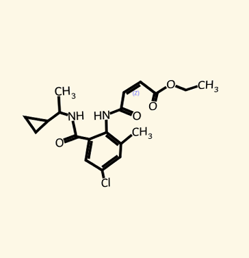 CCOC(=O)/C=C\C(=O)Nc1c(C)cc(Cl)cc1C(=O)NC(C)C1CC1